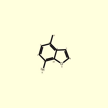 [2H]c1ccc(C)c2ccoc12